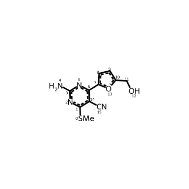 CSc1nc(N)nc(-c2ccc(CO)o2)c1C#N